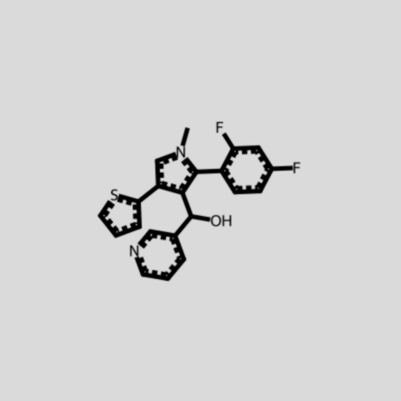 Cn1cc(-c2cccs2)c(C(O)c2cccnc2)c1-c1ccc(F)cc1F